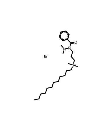 CCCCCCCCCCCC[N+](C)(C)CCCN(C(=O)c1ccccc1)N(C)C.[Br-]